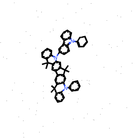 CC1(C)c2cc3c(cc2-c2cc4c(cc21)N(c1ccc2c(c1)c1ccccc1n2C1=CC=CCC1)c1ccccc1C4(C)C)C(C)(C)c1ccccc1N3c1ccccc1